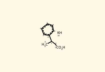 CC(CC(=O)O)c1ccccc1.[KH]